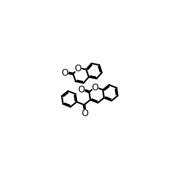 O=C(c1ccccc1)c1cc2ccccc2oc1=O.O=c1ccc2ccccc2o1